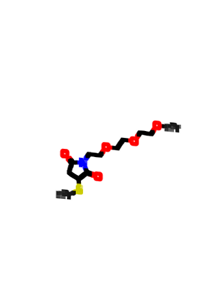 CCCOCCOCCOCCN1C(=O)CC(SCCC)C1=O